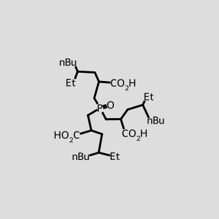 CCCCC(CC)CC(CP(=O)(CC(CC(CC)CCCC)C(=O)O)CC(CC(CC)CCCC)C(=O)O)C(=O)O